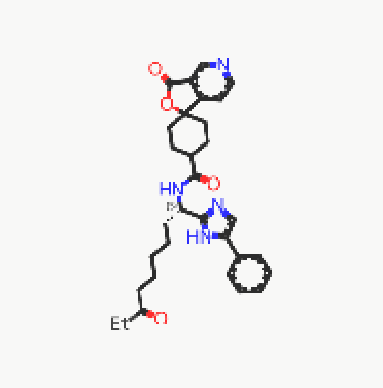 CCC(=O)CCCCC[C@H](NC(=O)C1CCC2(CC1)OC(=O)c1cnccc12)c1ncc(-c2ccccc2)[nH]1